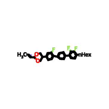 C/C=C/C1OCC(c2ccc(-c3ccc(-c4ccc(CCCCCC)c(F)c4F)cc3)c(F)c2)CO1